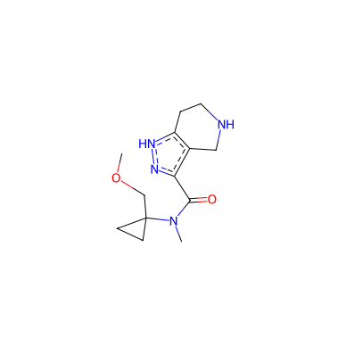 COCC1(N(C)C(=O)c2n[nH]c3c2CNCC3)CC1